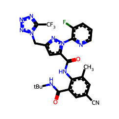 Cc1cc(C#N)cc(C(=O)NC(C)(C)C)c1NC(=O)c1cc(Cn2nnnc2C(F)(F)F)nn1-c1ncccc1F